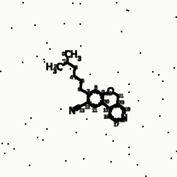 CC(C)CCCCc1cc2c(cc1C#N)-c1ccncc1CO2